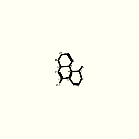 CC1CC=CC2=C1C1C=CCCC1C=C2I